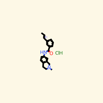 C/C=C/c1cccc(C(=O)Nc2ccc3c(c2)CN(C)CC3)c1.Cl